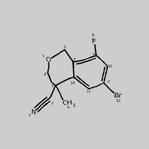 CC1(C#N)COCc2c(F)cc(Br)cc21